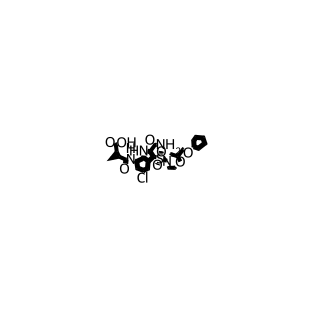 NC(=O)c1[nH]c2c(NC(=O)C3CC3C(=O)O)cc(Cl)cc2c1S(=O)(=O)N1CCOC(COc2ccccc2)C1